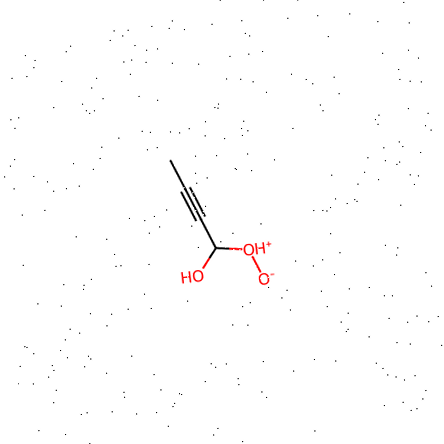 CC#CC(O)[OH+][O-]